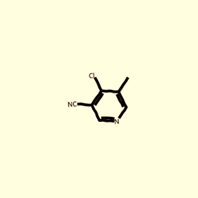 Cc1cncc(C#N)c1Cl